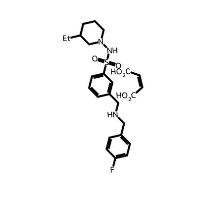 CCC1CCCN(NS(=O)(=O)c2cccc(CNCc3ccc(F)cc3)c2)C1.O=C(O)/C=C\C(=O)O